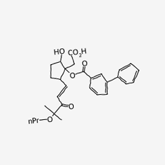 CCCOC(C)(C)C(=O)C=CC1CCC(O)C1(CC(=O)O)OC(=O)c1cccc(-c2ccccc2)c1